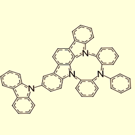 c1ccc(-n2c3ccccc3n3c4ccccc4c4ccc5c6cc(-n7c8ccccc8c8ccccc87)ccc6n(c6ccccc62)c5c43)cc1